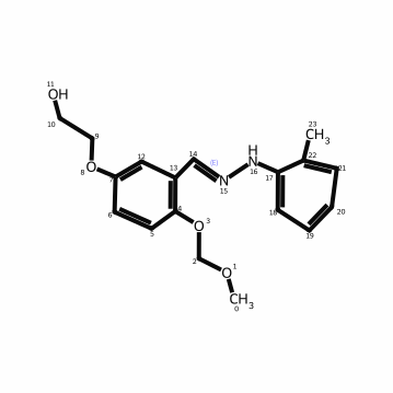 COCOc1ccc(OCCO)cc1/C=N/Nc1ccccc1C